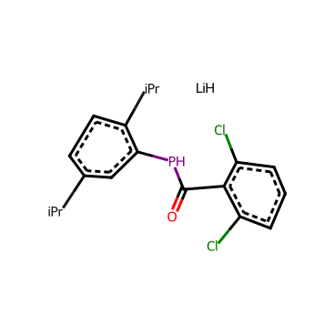 CC(C)c1ccc(C(C)C)c(PC(=O)c2c(Cl)cccc2Cl)c1.[LiH]